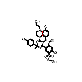 CCOc1cc(Cl)c(S(=O)(=O)NC(C)(C)C)cc1/C(=N/C(C)(C)C1C=CC(Cl)=CC1)N(Cc1ccc(Cl)cc1)C(=O)N1CCN(CCO)CC1